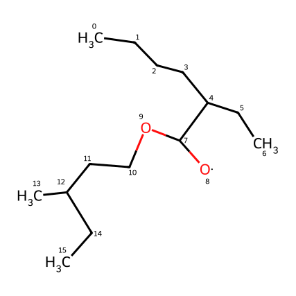 CCCCC(CC)C([O])OCCC(C)CC